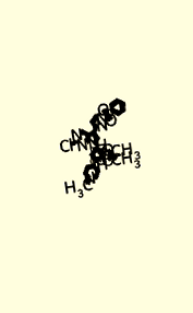 CN1CCC([C@H]2C[C@@H](n3cc(-c4ccn(S(=O)(=O)c5ccccc5)n4)c4cnc(Cl)nc43)[C@@H]3OC(C)(C)O[C@@H]32)CC1